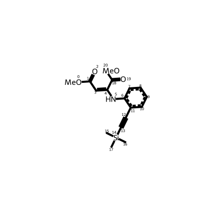 COC(=O)/C=C(/Nc1ccccc1C#C[Si](C)(C)C)C(=O)OC